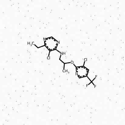 CCc1ncnc(NCC(C)Oc2ncc(C(F)(F)F)cc2Cl)c1Cl